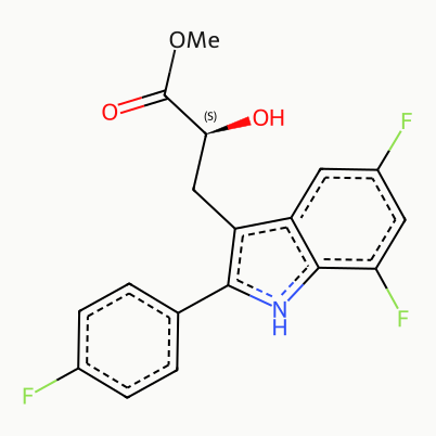 COC(=O)[C@@H](O)Cc1c(-c2ccc(F)cc2)[nH]c2c(F)cc(F)cc12